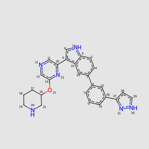 c1cc(-c2ccc3[nH]cc(-c4cncc(OC5CCCNC5)n4)c3c2)cc(-c2cc[nH]n2)c1